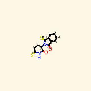 O=C1NC(=S)CCC1N1C(=O)c2ccccc2C1=S